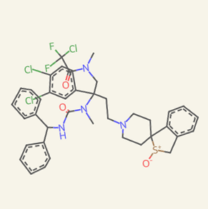 CN(CC(CCN1CCC2(CC1)c1ccccc1C[S+]2[O-])(c1ccc(Cl)c(Cl)c1)N(C)C(=O)NC(c1ccccc1)c1ccccc1)C(=O)C(F)(F)Cl